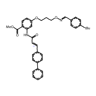 COC(=O)c1ccc(OCCCON=Cc2ccc(C(C)(C)C)cc2)cc1NC(=O)/C=C/c1ccc(-c2ccccc2)cc1